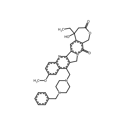 CCC1(O)CC(=O)OCc2c1cc1n(c2=O)Cc2c-1nc1ccc(OC)cc1c2CN1CCN(Cc2ccccc2)CC1